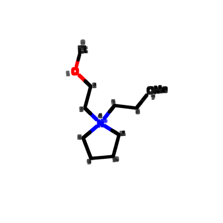 CCOCC[N+]1(CCOC)CCCC1